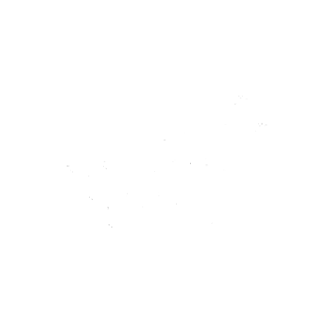 CCOc1cc(Cc2cnc(N)nc2N)cc(OCC)c1-c1ccc(OC)c(COC)c1